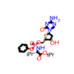 CC(C)OC(=O)[C@@H](NP(=O)(OC[C@H]1S[C@@H](n2cnc(N)nc2=O)C[C@H]1O)Oc1ccccc1)C(C)C